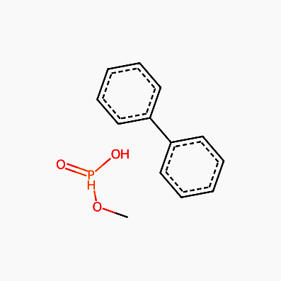 CO[PH](=O)O.c1ccc(-c2ccccc2)cc1